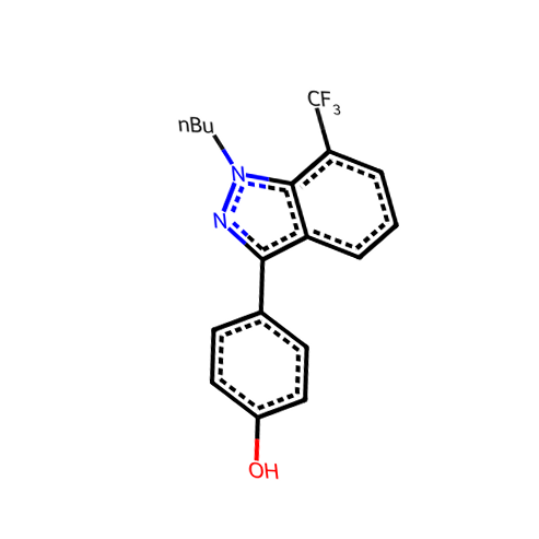 CCCCn1nc(-c2ccc(O)cc2)c2cccc(C(F)(F)F)c21